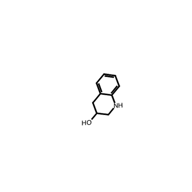 OC1CNc2ccccc2C1